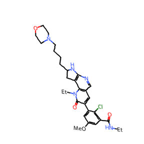 CCNC(=O)c1cc(OC)cc(-c2cc3cnc4c(c3n(CC)c2=O)CC(CCCCN2CCOCC2)N4)c1Cl